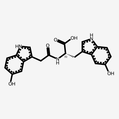 O=C(Cc1c[nH]c2ccc(O)cc12)N[C@@H](Cc1c[nH]c2ccc(O)cc12)C(=O)O